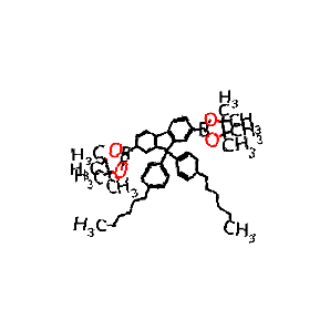 CCCCCCc1ccc(C2(c3ccc(CCCCCC)cc3)C3=C(C=CC(B4OC(C)(C)C(C)(C)O4)C3)c3ccc(B4OC(C)(C)C(C)(C)O4)cc32)cc1